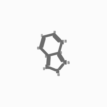 [c]1ccnc2nsnc12